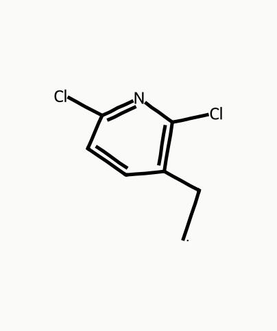 [CH2]Cc1ccc(Cl)nc1Cl